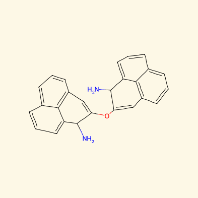 NC1C(OC2=Cc3cccc4cccc(c34)C2N)=Cc2cccc3cccc1c23